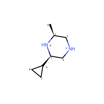 C[C@H]1CNC[C@@H](C2CC2)N1